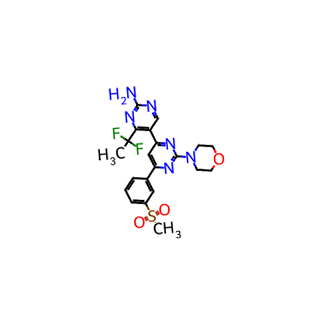 CC(F)(F)c1nc(N)ncc1-c1cc(-c2cccc(S(C)(=O)=O)c2)nc(N2CCOCC2)n1